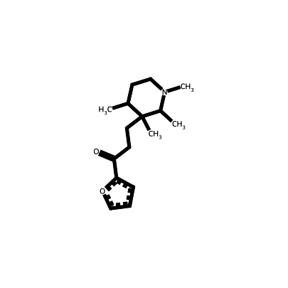 CC1CCN(C)C(C)C1(C)CCC(=O)c1ccco1